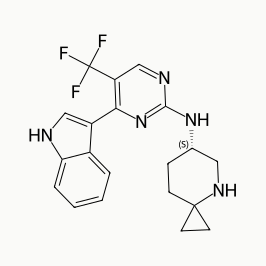 FC(F)(F)c1cnc(N[C@H]2CCC3(CC3)NC2)nc1-c1c[nH]c2ccccc12